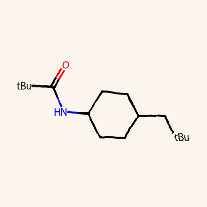 CC(C)(C)CC1CCC(NC(=O)C(C)(C)C)CC1